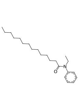 CCCCCCCCCCCCCC(=O)N(CC)c1ccccc1